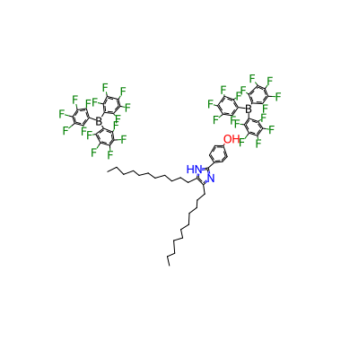 CCCCCCCCCCCc1nc(-c2ccc(O)cc2)[nH]c1CCCCCCCCCCC.Fc1c(F)c(F)c(B(c2c(F)c(F)c(F)c(F)c2F)c2c(F)c(F)c(F)c(F)c2F)c(F)c1F.Fc1c(F)c(F)c(B(c2c(F)c(F)c(F)c(F)c2F)c2c(F)c(F)c(F)c(F)c2F)c(F)c1F